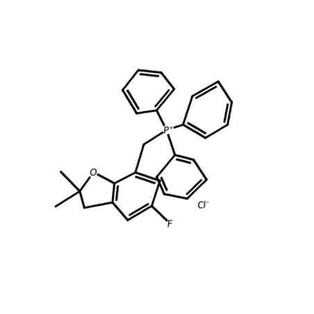 CC1(C)Cc2cc(F)cc(C[P+](c3ccccc3)(c3ccccc3)c3ccccc3)c2O1.[Cl-]